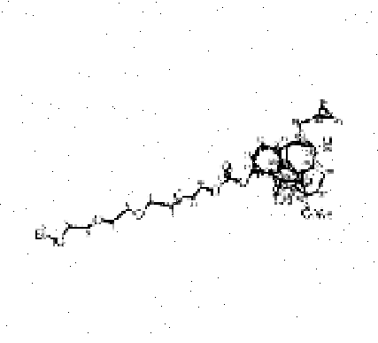 CCOCCOCCOCCOCCOC(=O)Oc1ccc2c3c1O[C@H]1[C@]4(OC)CC[C@@]5(C[C@@H]4[C@](C)(O)C(C)(C)C)[C@@H](C2)N(CC2CC2)CC[C@]315